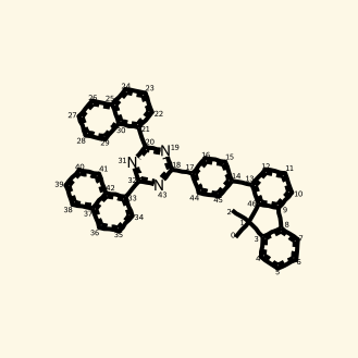 CC1(C)c2ccccc2-c2cccc(-c3ccc(-c4nc(-c5cccc6ccccc56)nc(-c5cccc6ccccc56)n4)cc3)c21